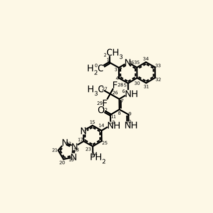 C=C(C)c1cc(N/C(=C(\C=N)C(=O)Nc2cnc(-n3nccn3)c(P)c2)C(C)(F)F)c2ccccc2n1